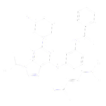 CC(C)n1cnc2c(Nc3cccc(NC(=O)c4ccccc4)c3)nc(N3CCCC(N)C3)nc21.CN(C)C/C=C/C(N)=O